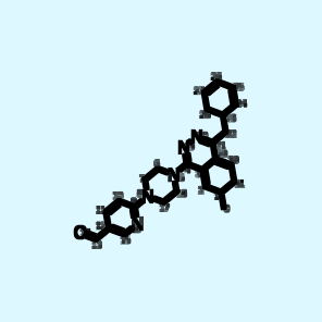 CC1C=c2c(N3CCN(c4ccc(C=O)cn4)CC3)nnc(CC3C=CC=CC3)c2=CC1